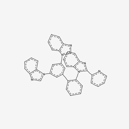 c1ccc(-c2nc3ccccc3n2-c2ccccc2-c2cc(-n3cnc4ccccc43)cc(-n3cnc4ccccc43)c2)nc1